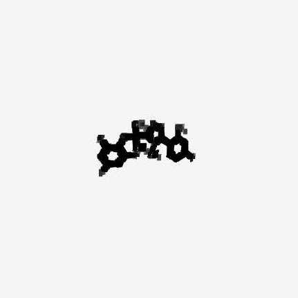 Cn1c(-c2ccc(F)cc2C(F)(F)F)nnc1C(C)(C)Oc1c(F)cc(F)cc1F